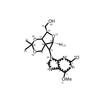 COc1nc(Cl)nc2c1ncn2C1[C@@H]2O[C@H](CO)C3OC(C)(C)OCC312